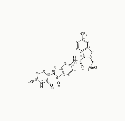 COC[C@@H]1Cc2cc(C(F)(F)F)ccc2N1C(=O)Nc1ccc2c(c1)CN(C1CCC(=O)NC1=O)C2=O